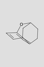 c1cc2c3cc1OC(CC3)C2